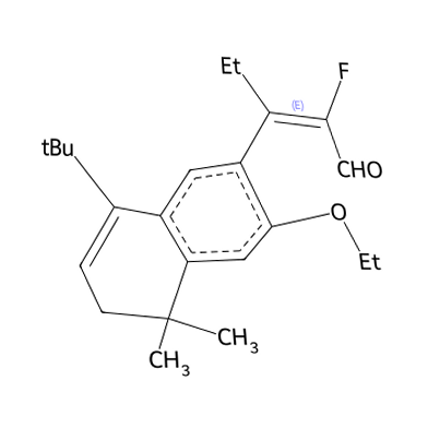 CCOc1cc2c(cc1/C(CC)=C(/F)C=O)C(C(C)(C)C)=CCC2(C)C